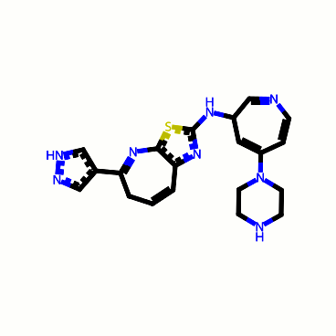 C1=Cc2nc(NC3C=NC=CC(N4CCNCC4)=C3)sc2N=C(c2cn[nH]c2)C1